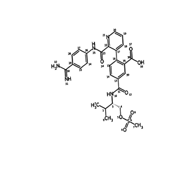 CC(C)[C@@H](COS(C)(=O)=O)NC(=O)c1ccc(-c2cccnc2C(=O)Nc2ccc(C(=N)N)cc2)c(C(=O)O)c1